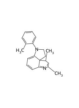 CC1=CC(C)C23CCN(c4ccccc4C)C2=CC=CC3=N1